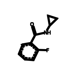 O=C(NC1CC1)c1[c]cccc1F